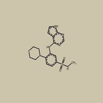 CNS(=O)(=O)c1ccc(N2CCSCC2)c(Nc2ncnc3[nH]ccc23)c1